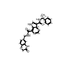 C[C@@H](NC(=O)c1c[nH]c2c(C(=O)NCc3ccc4c(c3)NC(=O)CO4)ncnc12)c1ccccc1